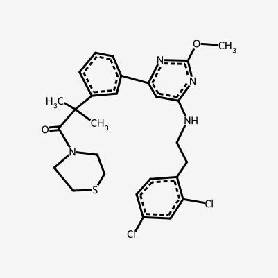 COc1nc(NCCc2ccc(Cl)cc2Cl)cc(-c2cccc(C(C)(C)C(=O)N3CCSCC3)c2)n1